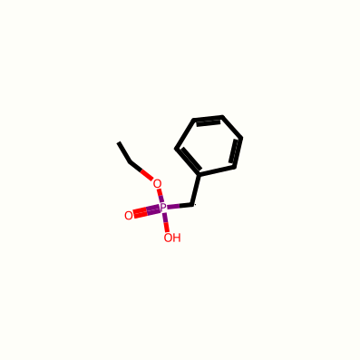 CCOP(=O)(O)[CH]c1ccccc1